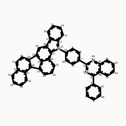 c1ccc(-c2nc(-c3ccc(-n4c5ccccc5c5cc6c7c(cccc7c54)-c4c-6ccc5ccccc45)cc3)nc3ccccc23)cc1